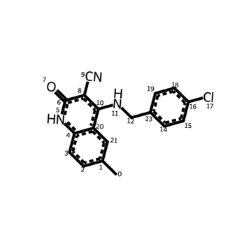 Cc1ccc2[nH]c(=O)c(C#N)c(NCc3ccc(Cl)cc3)c2c1